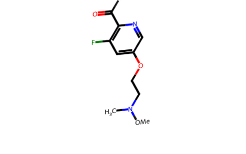 COC(=O)c1ncc(OCCN(C)OC)cc1F